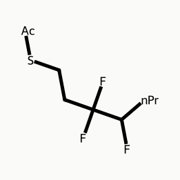 CCCC(F)C(F)(F)CCSC(C)=O